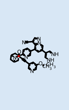 CN/C=C(\C=N)c1cc(-c2ccc(N3CC4CC(C3)N4C(=O)C#Cc3cncc(OC)c3)nc2)c2c(C#N)cnn2c1